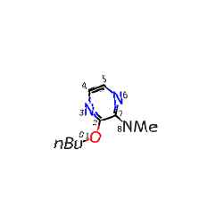 CCCCOc1nccnc1NC